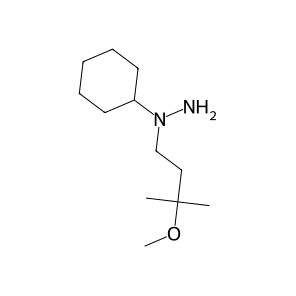 COC(C)(C)CCN(N)C1CCCCC1